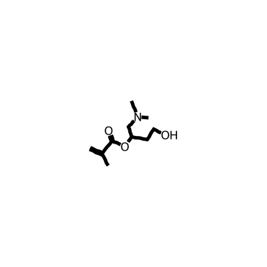 C=C(C)C(=O)OC(CCO)CN(C)C